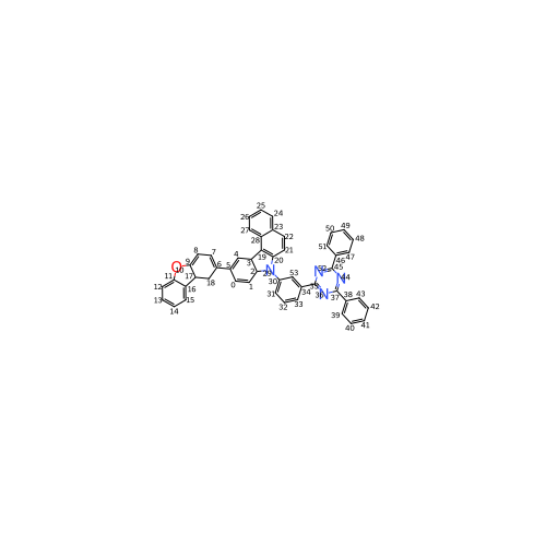 C1=CC2C(C=C1C1=CC=C3Oc4ccccc4C3C1)c1c(ccc3ccccc13)N2c1cccc(-c2nc(-c3ccccc3)nc(-c3ccccc3)n2)c1